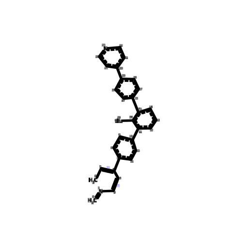 C=N/C=C\C(=C/C)c1ccc(-c2cccc(-c3ccc(-c4ccncc4)cc3)c2C(C)(C)C)cc1